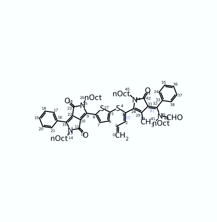 C=C/C=C(\Sc1ccc(C2=C3C(=O)N(CCCCCCCC)C(c4ccccc4)=C3C(=O)N2CCCCCCCC)s1)C1=C(C)/C(=C(/c2ccccc2)N(C=O)CCCCCCCC)C(=O)N1CCCCCCCC